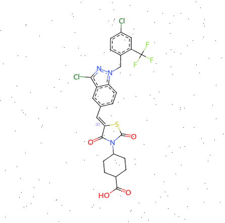 O=C(O)C1CCC(N2C(=O)S/C(=C\c3ccc4c(c3)c(Cl)nn4Cc3ccc(Cl)cc3C(F)(F)F)C2=O)CC1